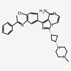 CCc1ccc(-c2nc([C@H]3C[C@@H](N4CCN(C)CC4)C3)n3ccnc(N)c23)cc1/N=C(\C)c1ccccc1